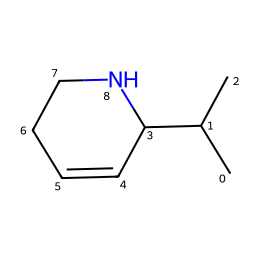 CC(C)C1C=CCCN1